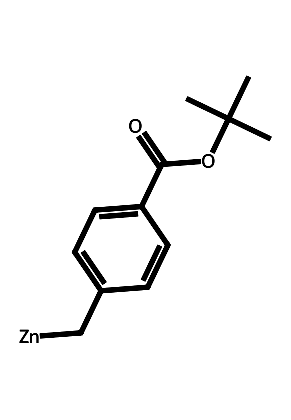 CC(C)(C)OC(=O)c1ccc([CH2][Zn])cc1